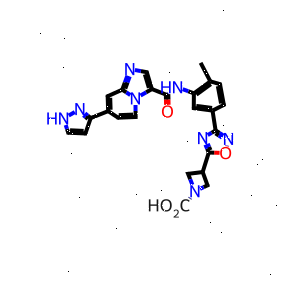 Cc1ccc(-c2noc(C3CN(C(=O)O)C3)n2)cc1NC(=O)c1cnc2cc(-c3cc[nH]n3)ccn12